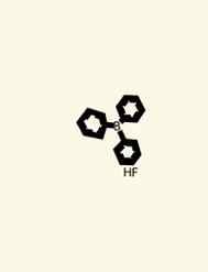 F.c1ccc(B(c2ccccc2)c2ccccc2)cc1